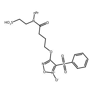 CCCN(CCS(=O)(=O)O)C(=O)CCCOc1no[n+]([O-])c1S(=O)(=O)c1ccccc1